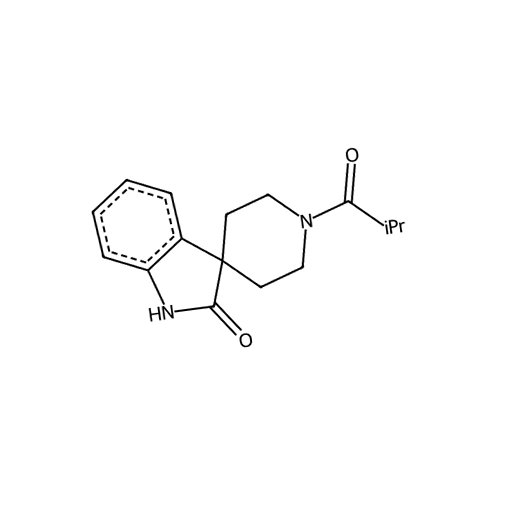 CC(C)C(=O)N1CCC2(CC1)C(=O)Nc1ccccc12